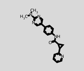 CN(C)c1ncc(-c2ccc(NC(=O)C3CC3c3ccccn3)cc2)cn1